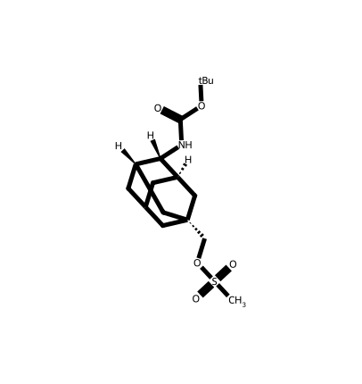 CC(C)(C)OC(=O)N[C@@H]1[C@@H]2CC3C[C@H]1C[C@](COS(C)(=O)=O)(C3)C2